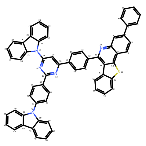 c1ccc(-c2ccc3c(c2)nc(-c2ccc(-c4cc(-n5c6ccccc6c6ccccc65)nc(-c5ccc(-n6c7ccccc7c7ccccc76)cc5)n4)cc2)c2c4ccccc4sc32)cc1